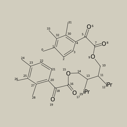 Cc1ccc(C(=O)C(=O)OCC(C(C)C)C(COC(=O)C(=O)c2ccc(C)c(C)c2C)C(C)C)c(C)c1C